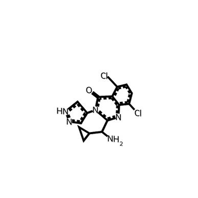 NC(c1nc2c(Cl)ccc(Cl)c2c(=O)n1-c1cn[nH]c1)C1CC1